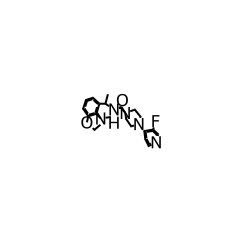 CC(NC(=O)N1CCN(c2ccncc2F)CC1)c1cccc2c1N(C)CCO2